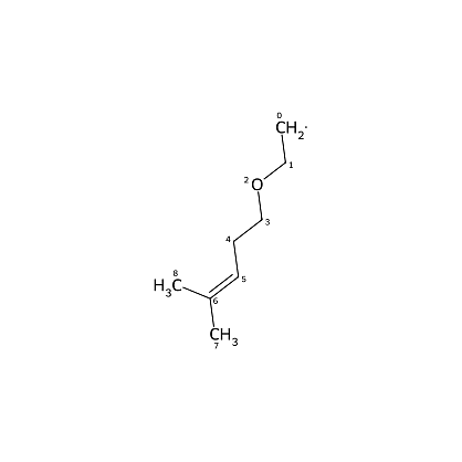 [CH2]COCCC=C(C)C